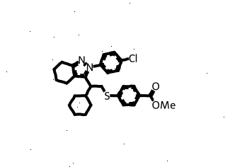 COC(=O)c1ccc(SCC(c2c3c(nn2-c2ccc(Cl)cc2)CCCC3)C2CCCCC2)cc1